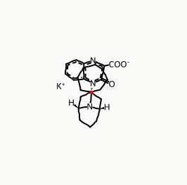 O=C([O-])c1nc2ccccc2n([C@H]2C[C@H]3CCC[C@@H](C2)N3C2CCCCCCC2)c1=O.[K+]